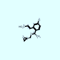 C[C@@H](OC[C@H]1CO1)c1ccc(Cl)cc1/C=C/C(=O)O